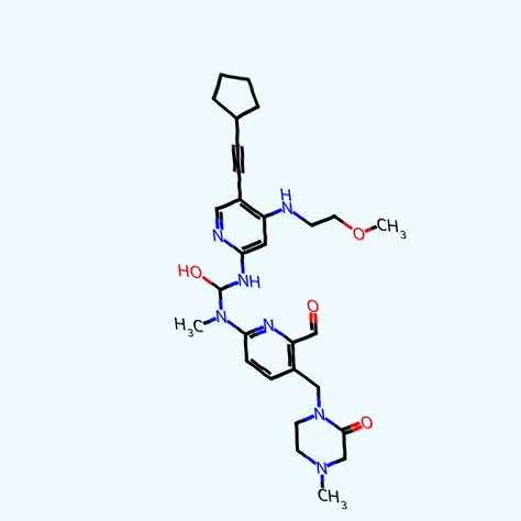 COCCNc1cc(NC(O)N(C)c2ccc(CN3CCN(C)CC3=O)c(C=O)n2)ncc1C#CC1CCCC1